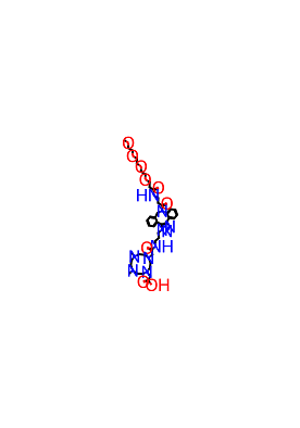 COCCOCCOCCOCCC(=O)NCCC(=O)N1Cc2ccccc2-c2c(nnn2CCCNC(=O)CN2CCN(C)CCN(C)CCN(CC(=O)O)CC2)-c2ccccc21